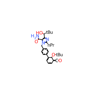 CCCc1nc(C(O)C(C)(C)C)c(C(N)=O)n1Cc1ccc(C2=CC=CC(=C=O)C2OC(C)(C)C)cc1